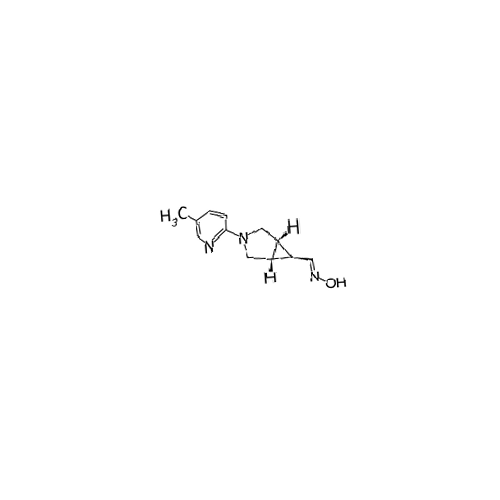 Cc1ccc(N2C[C@@H]3[C@@H](/C=N/O)[C@@H]3C2)nc1